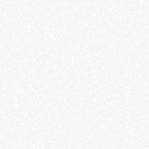 Fc1cccc(SCc2nnc(-c3ccc4c(c3)CCO4)o2)c1